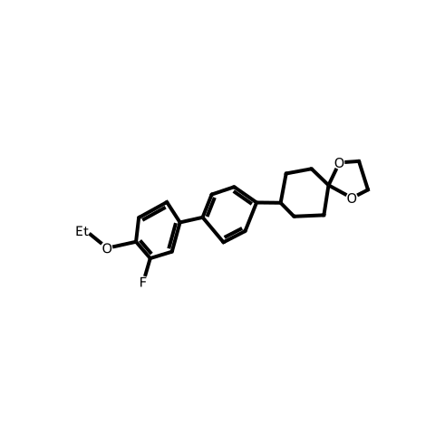 CCOc1ccc(-c2ccc(C3CCC4(CC3)OCCO4)cc2)cc1F